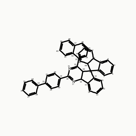 C1=CC2c3ccccc3C3(c4ccccc4C4N=C(c5ccc(-c6ccccc6)cc5)N=C(c5cccc6ccccc56)C43)C2C=C1